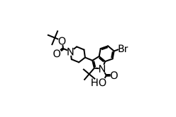 CC(C)(C)OC(=O)N1CCC(c2c(C(C)(C)C)n(C(=O)O)c3cc(Br)ccc23)CC1